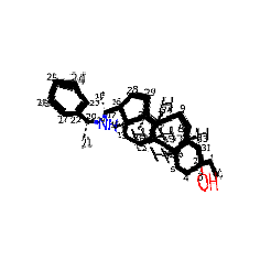 CC[C@@]1(O)CC[C@H]2[C@H](CC[C@@H]3[C@@H]2CC[C@]2(C)C([C@@H](C)N[C@H](C)c4ccccc4)CC[C@@H]32)C1